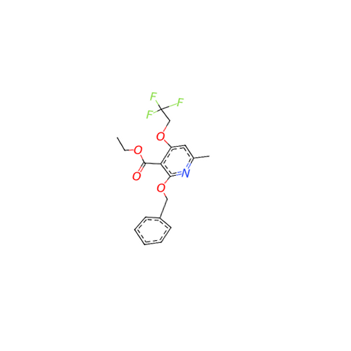 CCOC(=O)c1c(OCC(F)(F)F)cc(C)nc1OCc1ccccc1